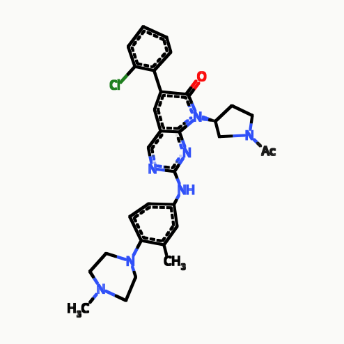 CC(=O)N1CC[C@H](n2c(=O)c(-c3ccccc3Cl)cc3cnc(Nc4ccc(N5CCN(C)CC5)c(C)c4)nc32)C1